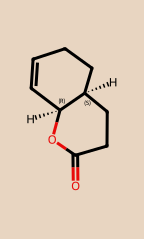 O=C1CC[C@@H]2CCC=C[C@@H]2O1